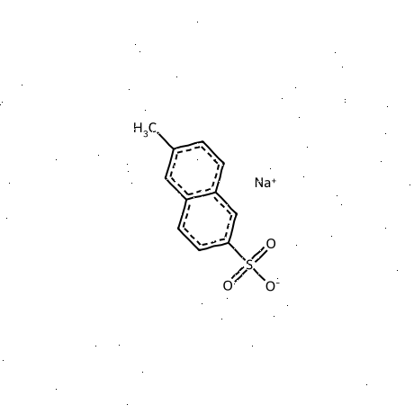 Cc1ccc2cc(S(=O)(=O)[O-])ccc2c1.[Na+]